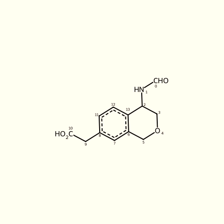 O=CNC1COCc2cc(CC(=O)O)ccc21